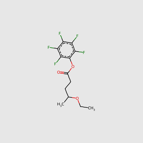 CCOC(C)CCC(=O)Oc1c(F)c(F)c(F)c(F)c1F